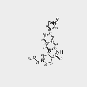 C=C(Nc1cc2cc(-c3cnn(C)c3)ccc2cn1)C1CCN(CCC)CC1